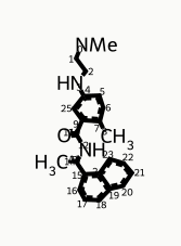 CNCCNc1ccc(C)c(C(=O)N[C@H](C)c2cccc3ccccc23)c1